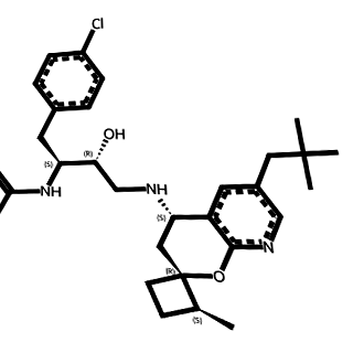 CC(=O)N[C@@H](Cc1ccc(Cl)cc1)[C@H](O)CN[C@H]1C[C@@]2(CC[C@@H]2C)Oc2ncc(CC(C)(C)C)cc21